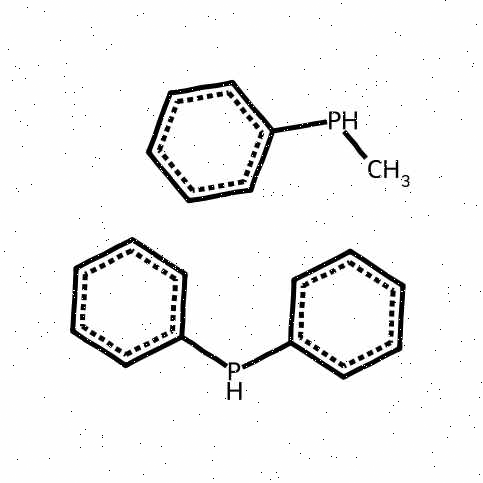 CPc1ccccc1.c1ccc(Pc2ccccc2)cc1